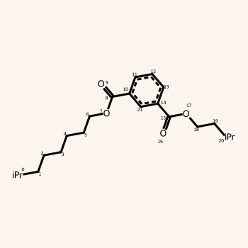 CC(C)CCCCCCOC(=O)c1cccc(C(=O)OCCC(C)C)c1